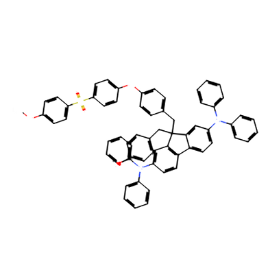 COc1ccc(S(=O)(=O)c2ccc(Oc3ccc(CC4(Cc5ccc(C)cc5)c5cc(N(c6ccccc6)c6ccccc6)ccc5-c5ccc(N(c6ccccc6)c6ccccc6)cc54)cc3)cc2)cc1